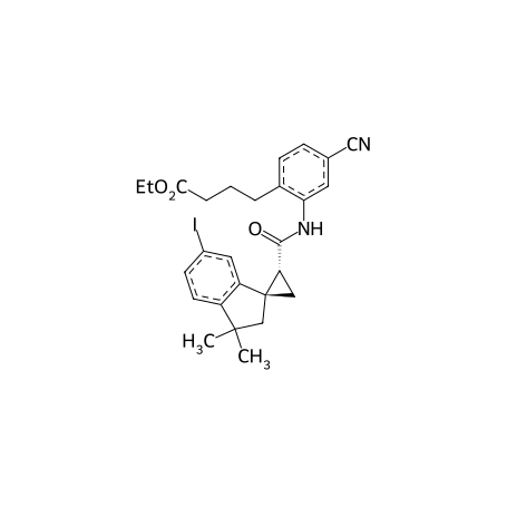 CCOC(=O)CCCc1ccc(C#N)cc1NC(=O)[C@@H]1C[C@]12CC(C)(C)c1ccc(I)cc12